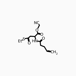 C=CCCC(=O)NC(CC(=O)SCC)C(=O)OCC#N